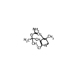 CC(C)(C)OC(N)=O.Cc1cnc(Cl)cc1I